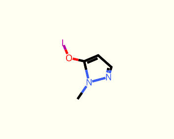 Cn1nccc1OI